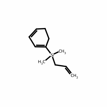 C=CC[Si](C)(C)C1=CC=CCC1